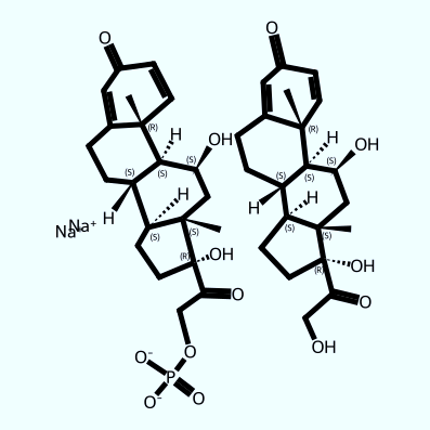 C[C@]12C=CC(=O)C=C1CC[C@@H]1[C@@H]2[C@@H](O)C[C@@]2(C)[C@H]1CC[C@]2(O)C(=O)CO.C[C@]12C=CC(=O)C=C1CC[C@@H]1[C@@H]2[C@@H](O)C[C@@]2(C)[C@H]1CC[C@]2(O)C(=O)COP(=O)([O-])[O-].[Na+].[Na+]